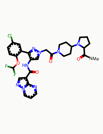 CNC(=O)C1CCCN1C1CCN(C(=O)Cn2cc(NC(=O)c3cnn4cccnc34)c(-c3cc(Cl)ccc3OC(F)F)n2)CC1